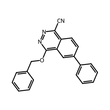 N#Cc1nnc(OCc2ccccc2)c2cc(-c3ccccc3)ccc12